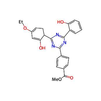 CCOC1=CCC(c2nc(-c3ccc(C(=O)OC)cc3)nc(-c3ccccc3O)n2)C(O)=C1